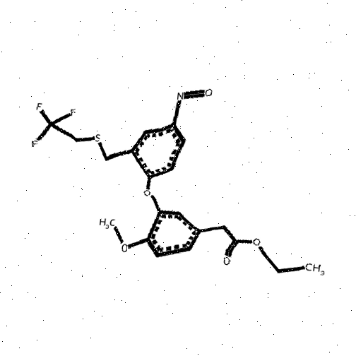 CCOC(=O)Cc1ccc(OC)c(Oc2ccc(N=O)cc2CSCC(F)(F)F)c1